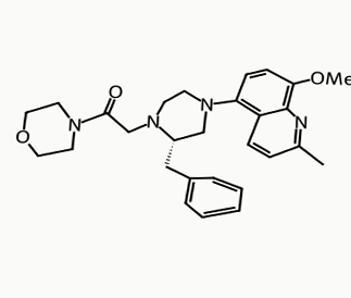 COc1ccc(N2CCN(CC(=O)N3CCOCC3)[C@@H](Cc3ccccc3)C2)c2ccc(C)nc12